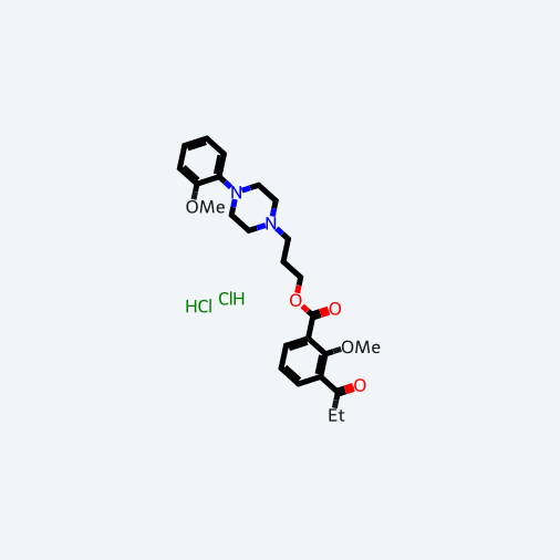 CCC(=O)c1cccc(C(=O)OCCCN2CCN(c3ccccc3OC)CC2)c1OC.Cl.Cl